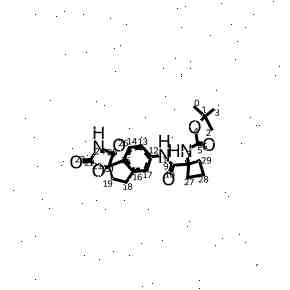 CC(C)(C)OC(=O)NC1(C(=O)Nc2ccc3c(c2)CC[C@]32OC(=O)NC2=O)CCC1